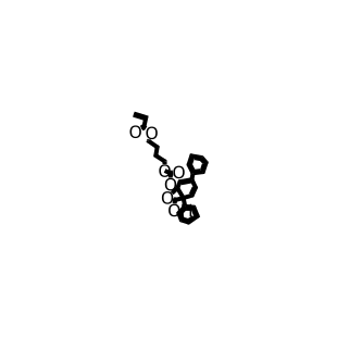 C=CC(=O)OCCCCOC(=O)OC1(C)C=C(c2ccccc2)C=CC1(C(=O)O)c1ccccc1